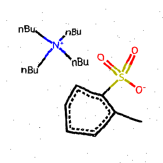 CCCC[N+](CCCC)(CCCC)CCCC.Cc1ccccc1S(=O)(=O)[O-]